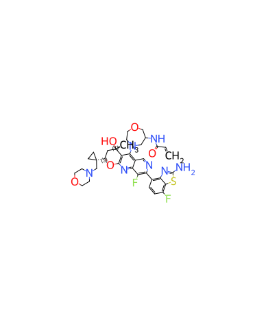 C=CC(=O)NC1COCCN(c2c3c(nc4c(F)c(-c5ccc(F)c6sc(N)nc56)ncc24)O[C@H](C2(CN4CCOCC4)CC2)C[C@]3(C)O)C1